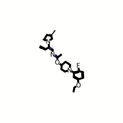 C=C/C(=C\N=C(/C)OC1CCN(c2cc(OCC)ccc2F)CC1)N1CC[C@@H](C)C1